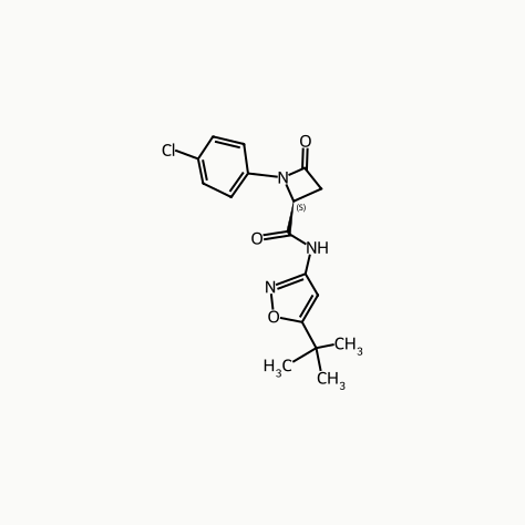 CC(C)(C)c1cc(NC(=O)[C@@H]2CC(=O)N2c2ccc(Cl)cc2)no1